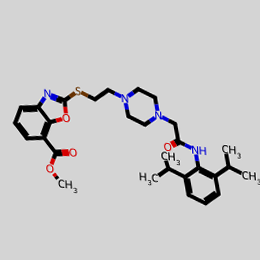 COC(=O)c1cccc2nc(SCCN3CCN(CC(=O)Nc4c(C(C)C)cccc4C(C)C)CC3)oc12